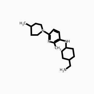 Cc1nc(N2CCC(C)CC2)ccc1NC1CCC(CN)CC1